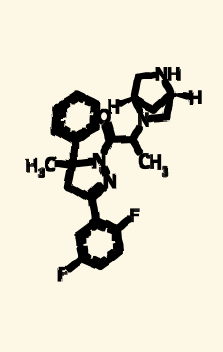 CC(C(=O)N1N=C(c2cc(F)ccc2F)CC1(C)c1ccccc1)N1C[C@@H]2C[C@H]1CN2